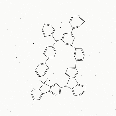 CC1(C)c2ccccc2-c2ccc(-n3c4ccccc4c4cc(-c5cccc(-c6cc(-c7ccccc7)cc(N(c7ccccc7)c7ccc(-c8ccccc8)cc7)c6)c5)ccc43)cc21